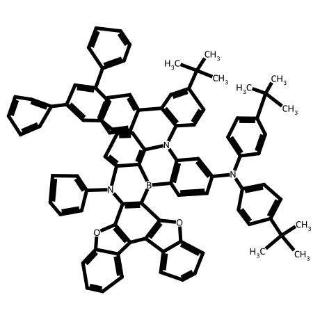 CC(C)(C)c1ccc(N(c2ccc(C(C)(C)C)cc2)c2ccc3c(c2)N(c2ccc(C(C)(C)C)cc2-c2ccccc2)c2cc(-c4cc(-c5ccccc5)cc(-c5ccccc5)c4)cc4c2B3c2c(c3oc5ccccc5c3c3c2oc2ccccc23)N4c2ccccc2)cc1